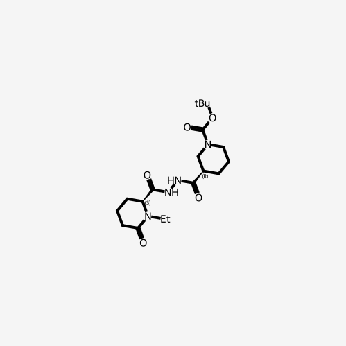 CCN1C(=O)CCC[C@H]1C(=O)NNC(=O)[C@@H]1CCCN(C(=O)OC(C)(C)C)C1